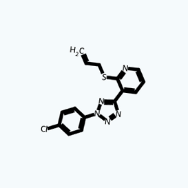 C=CCSc1ncccc1-c1nnn(-c2ccc(Cl)cc2)n1